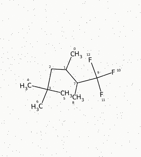 CC(CC(C)(C)C)C(C)C(F)(F)F